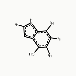 [2H]c1cc2c(O)c([2H])c([2H])c([2H])c2[nH]1